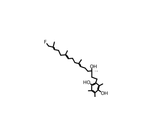 C/C(=C\CC/C(C)=C/CC/C(C)=C/CC[C@@](C)(O)CCc1c(C)c(O)c(C)c(C)c1O)CF